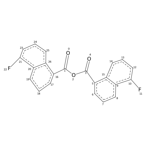 O=C(OC(=O)c1cccc2c(F)cccc12)c1cccc2c(F)cccc12